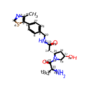 Cc1ncsc1-c1ccc(CNC(=O)C[C@@H]2C[C@@H](O)CN2C(=O)[C@@H](N)C(C)(C)C)cc1